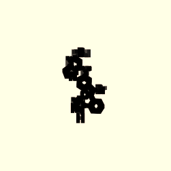 CCCCc1cc(N(C)c2ccc3oc(-c4ccccc4-c4nnn[nH]4)c(Br)c3c2)n2nccc2n1